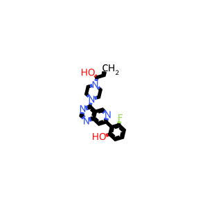 C=CC(O)N1CCN(c2ncnc3cc(-c4c(O)cccc4F)ncc23)CC1